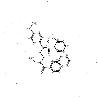 CCN(CCN(c1ccc(OC)nc1)S(=O)(=O)c1ccccc1C)C(=O)c1ccc2ccccc2c1